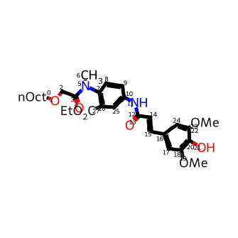 CCCCCCCCOCC(=O)N(C)c1ccc(NC(=O)/C=C/c2cc(OC)c(O)c(OC)c2)cc1C(=O)OCC